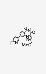 COCc1cc2n(n1)-c1cc(-c3ccc(F)nc3)ccc1C1(CC1)N(C)C2=O